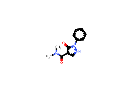 CN(C)C(=O)c1c[nH]n(-c2ccccc2)c1=O